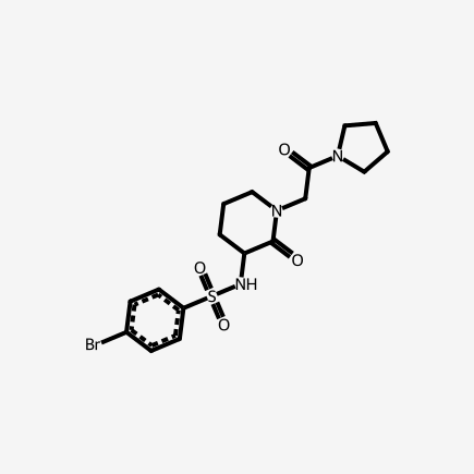 O=C(CN1CCCC(NS(=O)(=O)c2ccc(Br)cc2)C1=O)N1CCCC1